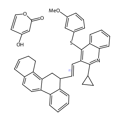 COc1cccc(Sc2c(/C=C/C3Cc4c(ccc5c4CCC=C5)-c4ccccc43)c(C3CC3)nc3ccccc23)c1.O=c1cc(O)cco1